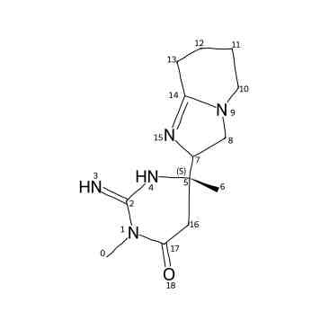 CN1C(=N)N[C@](C)(C2CN3CCCCC3=N2)CC1=O